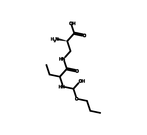 CCCOC(O)NC(CC)C(=O)NC[C@H](N)C(=O)O